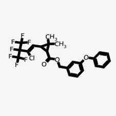 CC1(C)C(C=C(Cl)C(F)(C(F)(F)F)C(F)(F)F)C1C(=O)OCc1cccc(Oc2ccccc2)c1